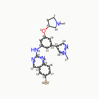 CN1CC[C@H](Oc2cc(Nc3ncc4cc(Br)ccc4n3)cc(-c3cnn(C)c3)c2)C1